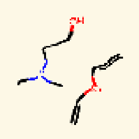 C=COC=C.CN(C)CCO